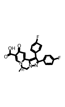 C[C@@H]1Cn2nc(-c3ccc(F)cc3)c(-c3ccc(F)cc3)c2-c2cc(=O)c(C(=O)O)cn21